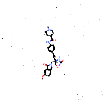 COc1ccc2c(c1)C(=O)N(C[C@]1(C#Cc3ccc(NC(=O)C4CCN(C)CC4)cc3)CONC(=O)N1)C2